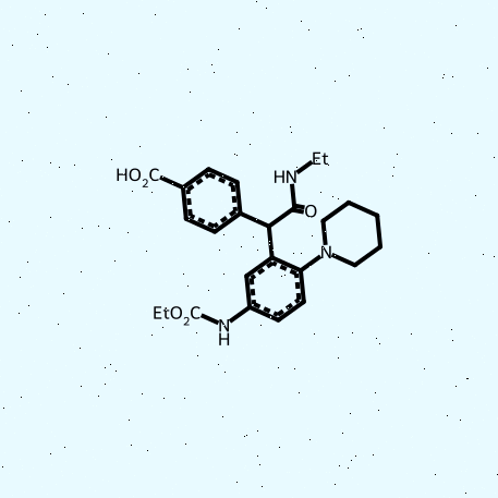 CCNC(=O)C(c1ccc(C(=O)O)cc1)c1cc(NC(=O)OCC)ccc1N1CCCCC1